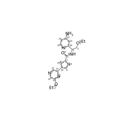 CCOCC(NC(=O)c1ncc(-c2cncc(OCC)n2)s1)c1cc(N)ccn1